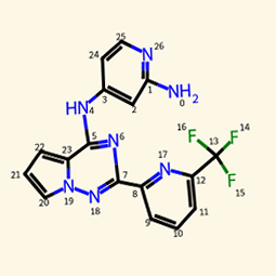 Nc1cc(Nc2nc(-c3cccc(C(F)(F)F)n3)nn3cccc23)ccn1